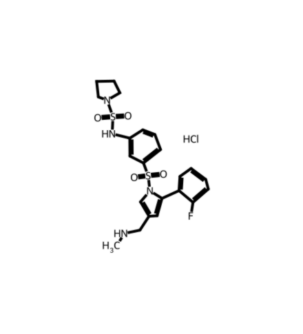 CNCc1cc(-c2ccccc2F)n(S(=O)(=O)c2cccc(NS(=O)(=O)N3CCCC3)c2)c1.Cl